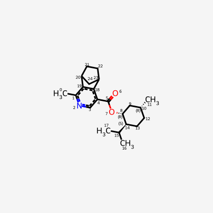 Cc1ncc(C(=O)O[C@@H]2C[C@H](C)CC[C@H]2C(C)C)c2c1C1CCC2C1